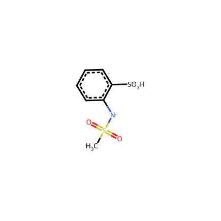 CS(=O)(=O)[N]c1ccccc1S(=O)(=O)O